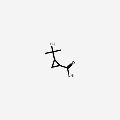 CC(C)(O)C1CC1C([NH])=O